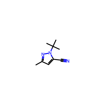 Cc1cc(C#N)n(C(C)(C)C)n1